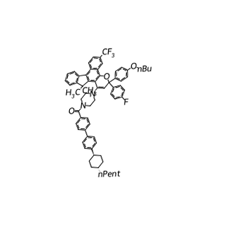 CCCCC[C@H]1CC[C@H](c2ccc(-c3ccc(C(=O)N4CCN(C5=CC(c6ccc(F)cc6)(c6ccc(OCCCC)cc6)Oc6c5c5c(c7ccc(C(F)(F)F)cc67)-c6ccccc6C5(C)C)CC4)cc3)cc2)CC1